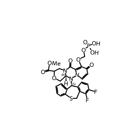 COC(=O)C1CN2C(=O)c3c(OCOP(=O)(O)O)c(=O)ccn3N([C@@H]3c4ccccc4SCc4c3ccc(F)c4F)[C@@H]2CO1